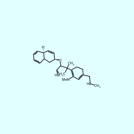 CBCC1=CC(NC)=C(C(C)(C)C(C=N)O[C@@H]2C=C[C@@H]3C=CC=CC3C2)CC1